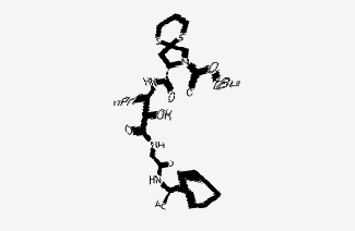 CCCC(NC(=O)[C@@H]1CC2(CN1C(=O)OC(C)(C)C)SCCCS2)C(O)C(=O)NCC(=O)N[C@H](C(C)=O)c1ccccc1